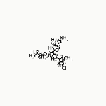 C[C@@H](NC(=O)c1cn(COCC[Si](C)(C)C)c2ncc(-c3cn(C)c4cc(Cl)ccc34)nc12)C(=O)N1CC(N)C1